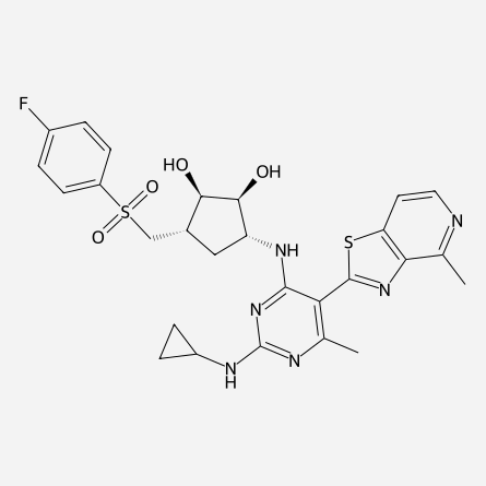 Cc1nc(NC2CC2)nc(N[C@@H]2C[C@H](CS(=O)(=O)c3ccc(F)cc3)[C@@H](O)[C@H]2O)c1-c1nc2c(C)nccc2s1